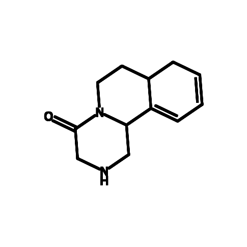 O=C1CNCC2C3=CC=CCC3CCN12